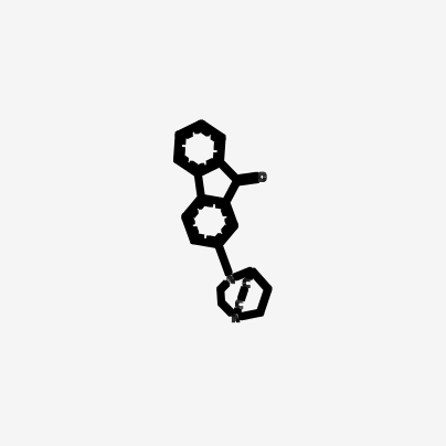 O=C1c2ccccc2-c2ccc(N3CCN4CCC3CC4)cc21